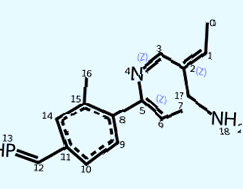 C\C=C(/C=N\C(=C/C)c1ccc(C=P)cc1C)CN